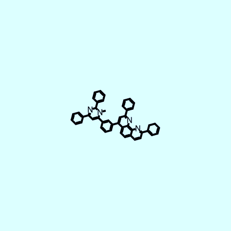 CN1C(c2cccc(-c3cc(-c4ccccc4)nc4c3ccc3ccc(C5=CC=CCC5)nc34)c2)=CC(c2ccccc2)=NC1c1ccccc1